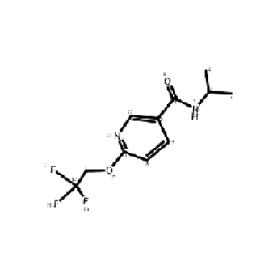 CC(C)NC(=O)c1ccc(OCC(F)(F)F)nc1